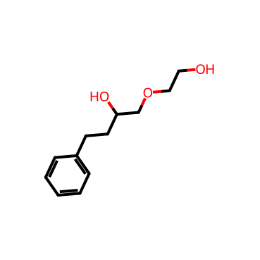 OCCOCC(O)CCc1ccccc1